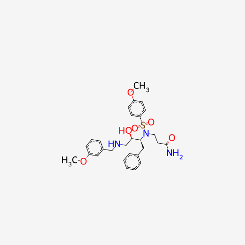 COc1ccc(S(=O)(=O)N(CCC(N)=O)[C@@H](Cc2ccccc2)[C@H](O)CNCc2cccc(OC)c2)cc1